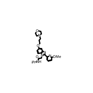 COc1cccc(-c2nc3cc(OCCCN4CCOCC4)ccc3n2CC(=O)NC(C)C)n1